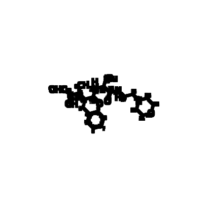 C[C@@H]([C@@H](Cc1ccccc1)C(=O)NC(C(=O)NCCN1CCOCC1)C(C)(C)C)N(O)C=O